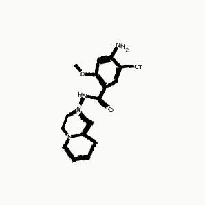 COc1cc(N)c(Cl)cc1C(=O)NN1CCN2CCCCC2C1